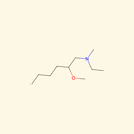 [CH2]CCCC(CN(C)CC)OC